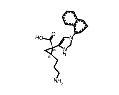 NCCC[C@H]1C[C@]1(C(=O)O)C1=CN(c2cccc3ccccc23)CN1